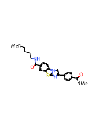 CNCCCCNC(=O)c1ccc2c(c1)sc1nc(-c3ccc(C(=O)NC)cc3)cn12